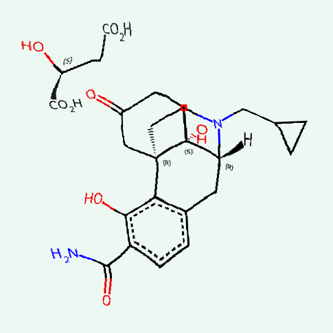 NC(=O)c1ccc2c(c1O)[C@]13CCN(CC4CC4)[C@H](C2)[C@]1(O)CCC(=O)C3.O=C(O)C[C@H](O)C(=O)O